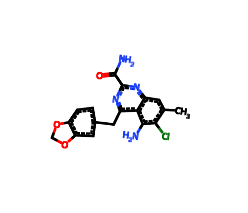 Cc1cc2nc(C(N)=O)nc(Cc3ccc4c(c3)OCO4)c2c(N)c1Cl